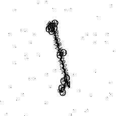 CC(=O)OCCN(C)CC(=O)OCCCCCCCCCCOC(=O)CCCCCCCCCCC(=O)ON1C(=O)CCC1=O